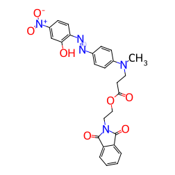 CN(CCC(=O)OCCN1C(=O)c2ccccc2C1=O)c1ccc(/N=N/c2ccc([N+](=O)[O-])cc2O)cc1